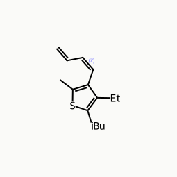 C=C/C=C\c1c(C)sc(C(C)CC)c1CC